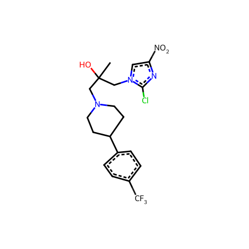 CC(O)(CN1CCC(c2ccc(C(F)(F)F)cc2)CC1)Cn1cc([N+](=O)[O-])nc1Cl